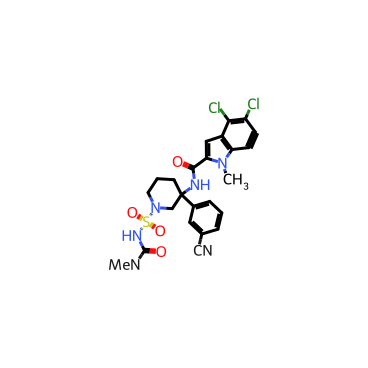 CNC(=O)NS(=O)(=O)N1CCCC(NC(=O)c2cc3c(Cl)c(Cl)c#cc3n2C)(c2cccc(C#N)c2)C1